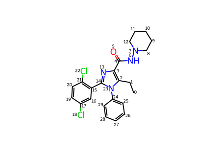 CCc1c(C(=O)NN2CCCCC2)nc(-c2cc(Cl)ccc2Cl)n1-c1ccccc1